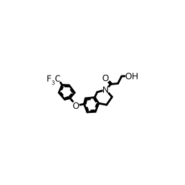 O=C(CCO)N1CCc2ccc(Oc3ccc(C(F)(F)F)cc3)cc2C1